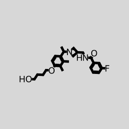 Cc1c(OCCCCO)ccc(C(C)N2CC(CNC(=O)c3cccc(F)c3)C2)c1C